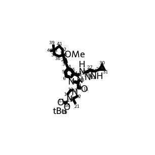 COC1(C#Cc2ccc3nc(C(=O)N4CCN(C(=O)OC(C)(C)C)C(C)C4)nc(Nc4cc(C5CC5)[nH]n4)c3c2)CCC(C)(C)CC1